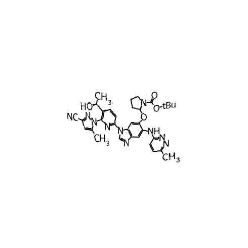 Cc1ccc(Nc2cc3ncn(-c4ccc(C(C)O)c(-n5nc(C#N)cc5C)n4)c3cc2OC2CCCN2C(=O)OC(C)(C)C)nn1